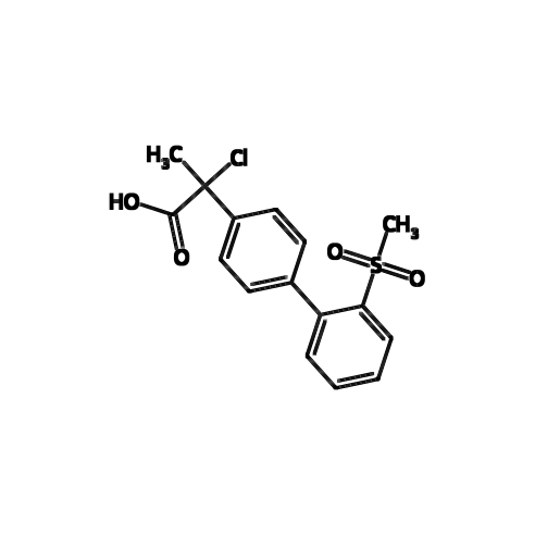 CC(Cl)(C(=O)O)c1ccc(-c2ccccc2S(C)(=O)=O)cc1